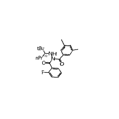 CCC[C@H](NN(C(=O)c1cc(C)cc(C)c1)C(=O)c1ccccc1F)C(C)(C)C